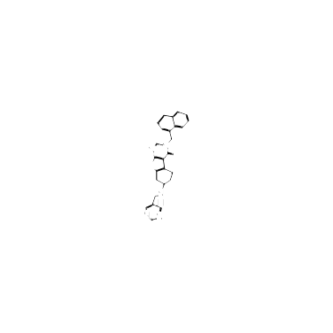 O=c1c2c3c(sc2ncn1Cc1cccc2ccccc12)CC(NCc1cncnc1)CC3